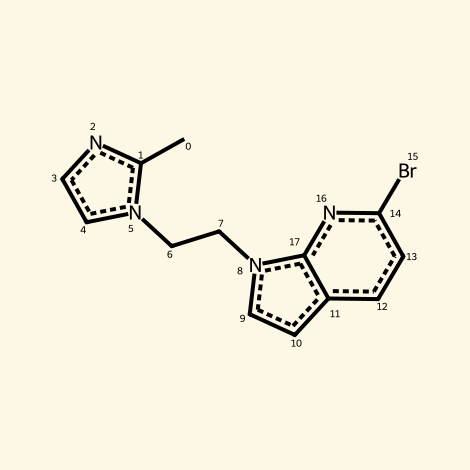 Cc1nccn1CCn1ccc2ccc(Br)nc21